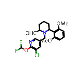 COc1cccc(OC)c1C1CCCC(C=O)N1Cc1cnc(OC(F)F)c(Cl)c1